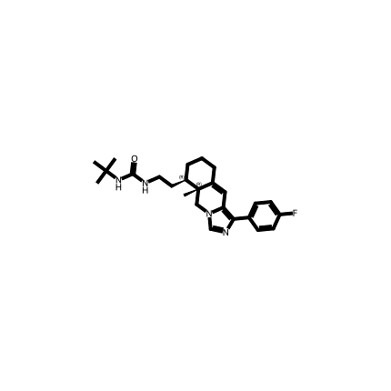 CC(C)(C)NC(=O)NCC[C@H]1CCCC2=Cc3c(-c4ccc(F)cc4)ncn3C[C@@]21C